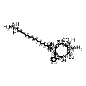 CC[C@@H](C)[C@@H]1NC(=O)[C@@H](Cc2ccccc2)NC(=O)[C@@H](NC(=O)CC(O)CCCCCCCCCCCCCCCCNC(=N)N)[C@@H](C)OC(=O)[C@H](CC(=O)O)NC(=O)[C@H](CCN)NC1=O